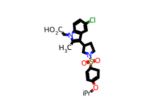 Cc1c(C2CCN(S(=O)(=O)C3C=CC(OC(C)C)=CC3)C2)c2cc(Cl)ccc2n1CC(=O)O